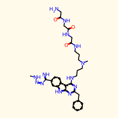 CN/N=N\C(=N)c1ccc2c(c1)[nH]c1nc(Cc3ccccc3)nc(NCCCN(C)CCCNC(=O)CNC(=O)CNC(=O)CN)c12